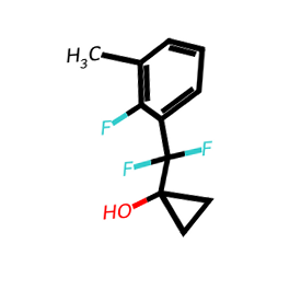 Cc1cccc(C(F)(F)C2(O)CC2)c1F